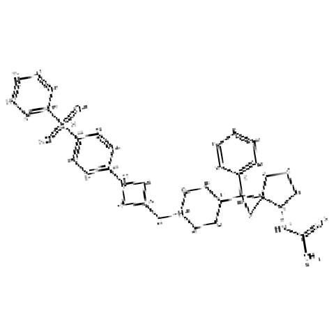 CC(=O)N[C@H]1CCCC12CC2(c1ccccc1)C1CCN(CC2CN(c3ccc(S(=O)(=O)c4ccncc4)cc3)C2)CC1